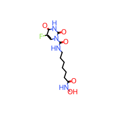 O=C(CCCCCCNC(=O)n1cc(F)c(=O)[nH]c1=O)NO